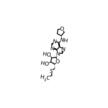 CCSC[C@H]1O[C@@H](n2cnc3c(N[C@@H]4CCOC4)ncnc32)[C@H](O)[C@@H]1O